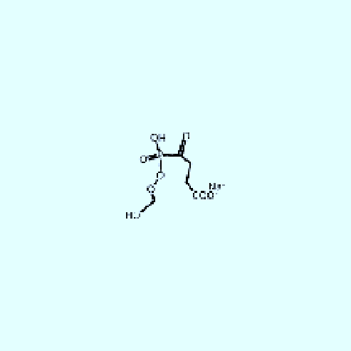 O=C([O-])CCC(=O)P(=O)(O)OOCO.[Na+]